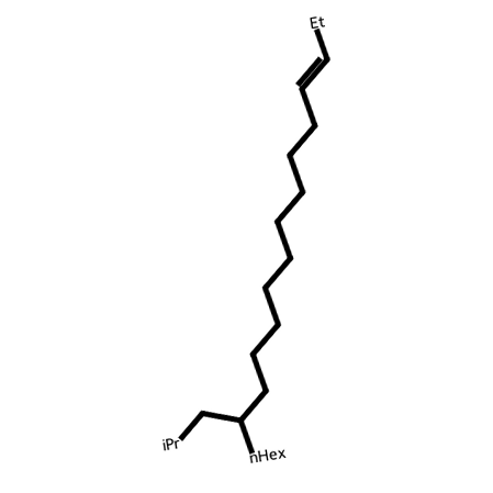 [CH2]C/C=C/CCCCCCCCCC(CCCCC[CH2])CC(C)C